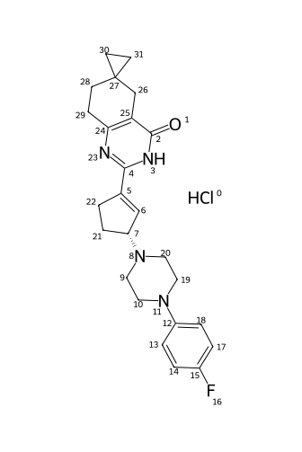 Cl.O=c1[nH]c(C2=C[C@H](N3CCN(c4ccc(F)cc4)CC3)CC2)nc2c1CC1(CC2)CC1